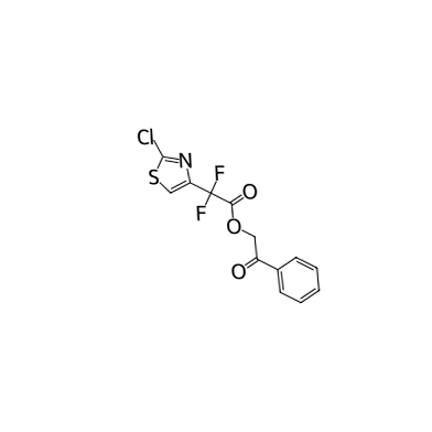 O=C(COC(=O)C(F)(F)c1csc(Cl)n1)c1ccccc1